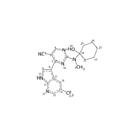 CN(c1ncc(C#N)c(-c2c[nH]c3ncc(C(F)(F)F)cc23)n1)C1(O)CCCCC1